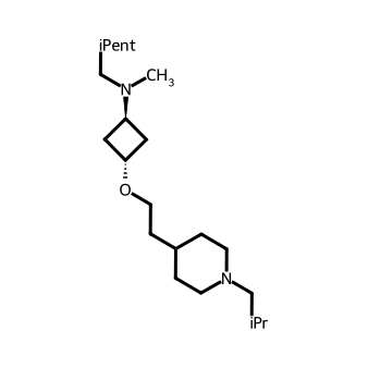 CCCC(C)CN(C)[C@H]1C[C@H](OCCC2CCN(CC(C)C)CC2)C1